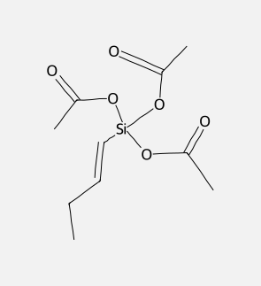 CC/C=C/[Si](OC(C)=O)(OC(C)=O)OC(C)=O